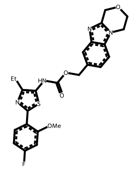 CCc1nc(-c2ccc(F)cc2OC)sc1NC(=O)OCc1ccc2c(c1)nc1n2CCOC1